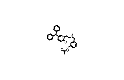 CC(=O)OOc1cccc(CN(C)CCn2cc(C(c3ccccc3)c3ccccc3)ccc2=O)c1